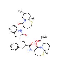 COC(=O)[C@@H]1CCC[C@@H]2SCC[C@H](NC(=O)[C@H](CC[C@H](Cc3ccccc3)C(=O)N[C@H]3CCS[C@H]4CC[C@H](C(F)(F)F)CN4C3=O)Cc3ccccc3)C(=O)N21